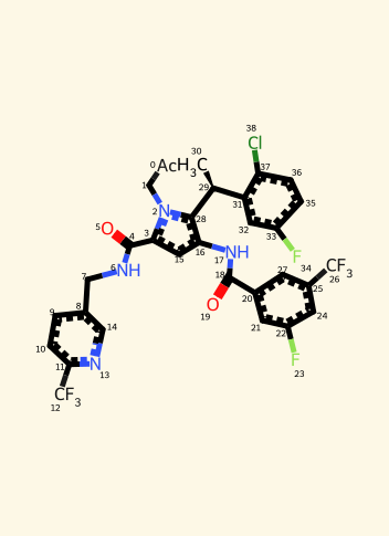 CC(=O)Cn1c(C(=O)NCc2ccc(C(F)(F)F)nc2)cc(NC(=O)c2cc(F)cc(C(F)(F)F)c2)c1[C@@H](C)c1cc(F)ccc1Cl